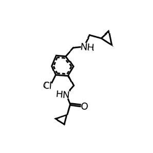 O=C(NCc1cc(CNCC2CC2)ccc1Cl)C1CC1